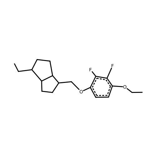 CCOc1ccc(OCC2CCC3C(CC)CCC23)c(F)c1F